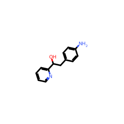 Nc1ccc(CC(O)c2ccccn2)cc1